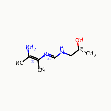 C[C@@H](O)CN/C=N/C(C#N)=C(\N)C#N